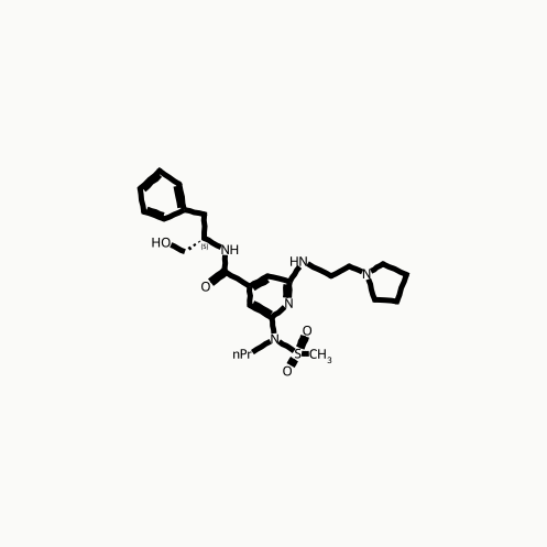 CCCN(c1cc(C(=O)N[C@H](CO)Cc2ccccc2)cc(NCCN2CCCC2)n1)S(C)(=O)=O